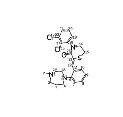 CN1CCCN(c2ccccc2C=C2SCCN(c3cccc(Cl)c3Cl)C2=O)CC1